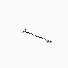 C=CC(C)CCCCCCCCCCCCCCNC